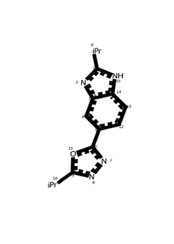 CC(C)c1nc2cc(-c3nnc(C(C)C)o3)ccc2[nH]1